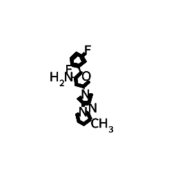 CC1CCCn2c1nc1c2CN([C@H]2CO[C@H](c3cc(F)ccc3F)[C@@H](N)C2)C1